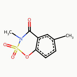 Cc1ccc2c(c1)C(=O)N(C)S(=O)(=O)O2